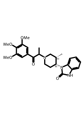 COc1cc(C(=O)C(C)N2CC[C@@H](n3c(=O)[nH]c4ccccc43)[C@@H](C)C2)cc(OC)c1OC